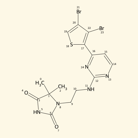 CC1(C)C(=O)NC(=O)N1CCNc1nccc(-c2scc(Br)c2Br)n1